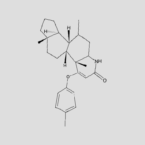 Cc1ccc(OC2=CC(=O)NC3CC(C)[C@@H]4[C@@H](CC[C@]5(C)CCC[C@@H]45)[C@@]23C)cc1